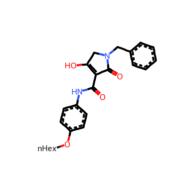 CCCCCCOc1ccc(NC(=O)C2=C(O)CN(Cc3ccccc3)C2=O)cc1